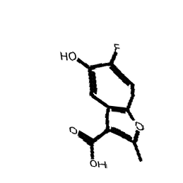 Cc1oc2cc(F)c(O)cc2c1C(=O)O